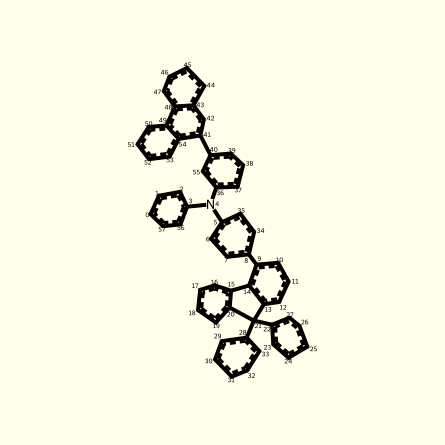 c1ccc(N(c2ccc(-c3cccc4c3-c3ccccc3C4(c3ccccc3)c3ccccc3)cc2)c2cccc(-c3cc4ccccc4c4ccccc34)c2)cc1